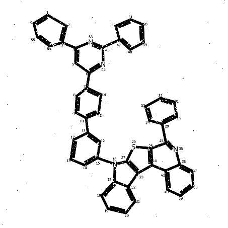 c1ccc(-c2cc(-c3ccc(-c4cccc(-n5c6ccccc6c6c7c(sc65)c(-c5ccccc5)nc5ccccc57)c4)cc3)nc(-c3ccccc3)n2)cc1